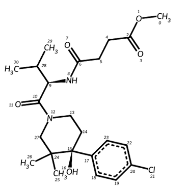 COC(=O)CCC(=O)N[C@@H](C(=O)N1CC[C@](O)(c2ccc(Cl)cc2)C(C)(C)C1)C(C)C